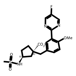 COc1ccc(C[C@]2(C(=O)O)CC[C@H](NS(C)(=O)=O)C2)cc1-c1ncc(F)cn1